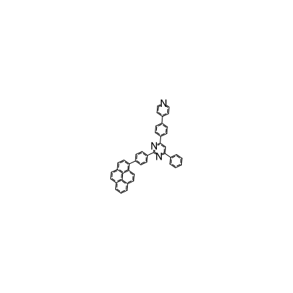 c1ccc(-c2cc(-c3ccc(-c4ccncc4)cc3)nc(-c3ccc(-c4ccc5ccc6cccc7ccc4c5c67)cc3)n2)cc1